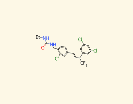 CCNC(=O)NCc1ccc(C=CC(c2cc(Cl)cc(Cl)c2)C(F)(F)F)cc1Cl